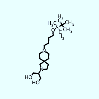 CC(C)(C)[Si](C)(C)OCCCCN1CCC2(CC1)CCN(C(CO)CO)C2